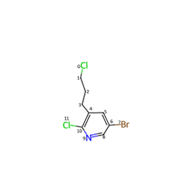 ClCCCc1cc(Br)cnc1Cl